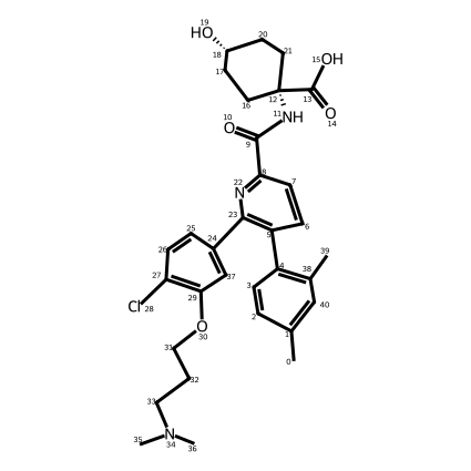 Cc1ccc(-c2ccc(C(=O)N[C@]3(C(=O)O)CC[C@H](O)CC3)nc2-c2ccc(Cl)c(OCCCN(C)C)c2)c(C)c1